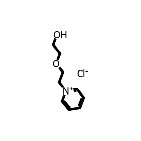 OCCOCC[n+]1ccccc1.[Cl-]